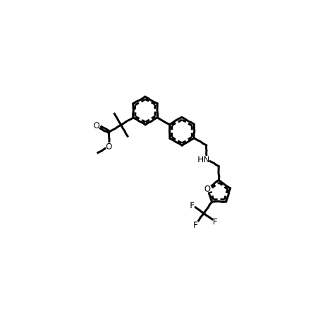 COC(=O)C(C)(C)c1cccc(-c2ccc(CNCc3ccc(C(F)(F)F)o3)cc2)c1